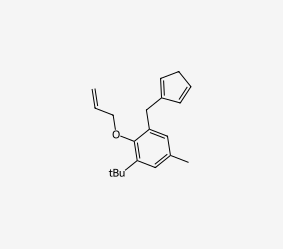 C=CCOc1c(CC2=CCC=C2)cc(C)cc1C(C)(C)C